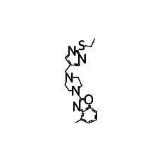 CCSc1ncc(CN2CCN(c3nc4c(C)cccc4o3)CC2)cn1